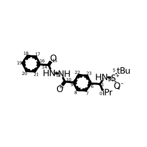 CC(C)C(N[S@@+]([O-])C(C)(C)C)c1ccc(C(=O)NNC(=O)c2ccccc2)cc1